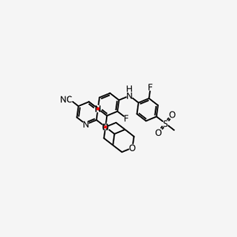 CS(=O)(=O)c1ccc(Nc2ccnc(OC3C4COCC3CN(c3ncc(C#N)cn3)C4)c2F)c(F)c1